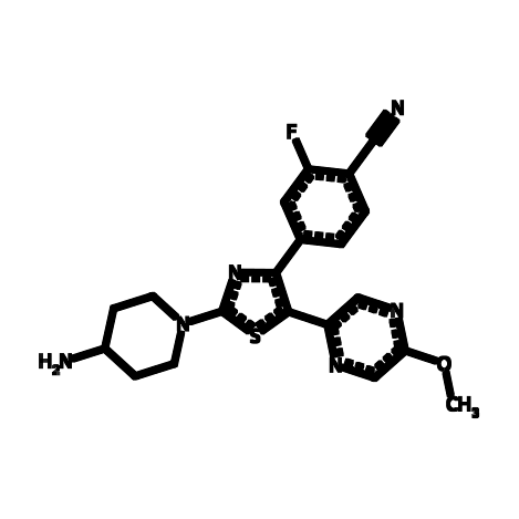 COc1cnc(-c2sc(N3CCC(N)CC3)nc2-c2ccc(C#N)c(F)c2)cn1